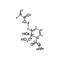 C=C(C)C(=O)OCCC1=CC=CC(C(=O)OCCC)C1(O)C(=O)O